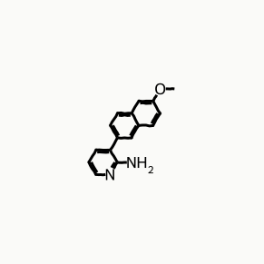 COc1ccc2cc(-c3cccnc3N)ccc2c1